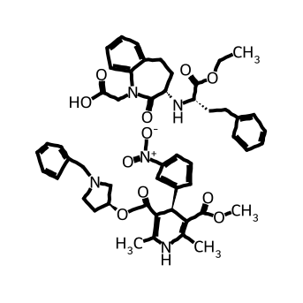 CCOC(=O)[C@H](CCc1ccccc1)N[C@H]1CCc2ccccc2N(CC(=O)O)C1=O.COC(=O)C1=C(C)NC(C)=C(C(=O)O[C@H]2CCN(Cc3ccccc3)C2)[C@H]1c1cccc([N+](=O)[O-])c1